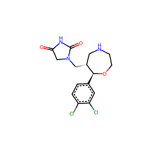 O=C1CN(C[C@@H]2CNCCO[C@H]2c2ccc(Cl)c(Cl)c2)C(=O)N1